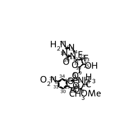 COC(=O)[C@H](C)NP(=O)(OCC1O[C@@H](n2cnc(N)nc2=O)C(F)(F)C1O)OC(C)c1ccc([N+](=O)[O-])cc1